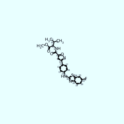 COC(=O)[C@H](NC(=O)c1cc(-c2ccc(Nc3nc4ccc(F)cc4s3)cc2)no1)C(C)C